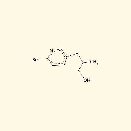 CC(CO)Cc1ccc(Br)nc1